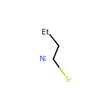 CCCC[S].[N]